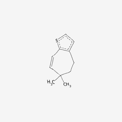 CC1(C)C=Cc2sccc2CC1